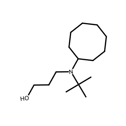 CC(C)(C)N(CCCO)C1CCCCCCC1